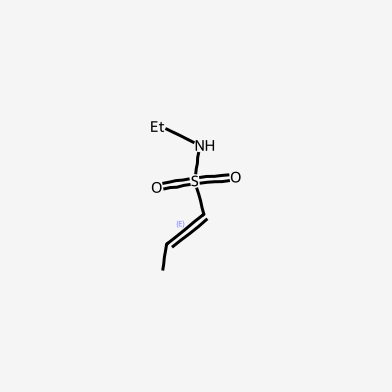 C/C=C/S(=O)(=O)NCC